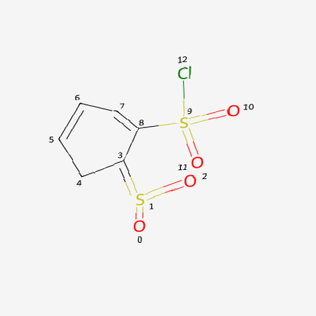 O=S(=O)=C1CC=CC=C1S(=O)(=O)Cl